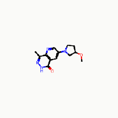 COC1CCN(c2cnc3c(C)n[nH]c(=O)c3c2)C1